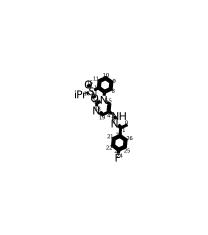 C/C(=N\NC1=CN(c2ccccc2S(=O)(=O)C(C)C)CN=C1)c1ccc(F)cc1